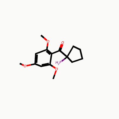 COc1cc(OC)c(C(=O)C2(P)CCCC2)c(OC)c1